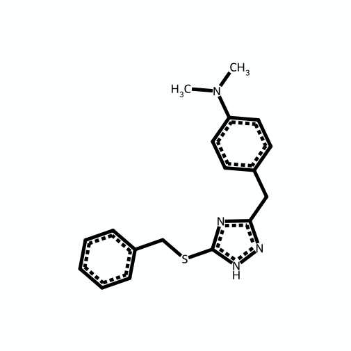 CN(C)c1ccc(Cc2n[nH]c(SCc3ccccc3)n2)cc1